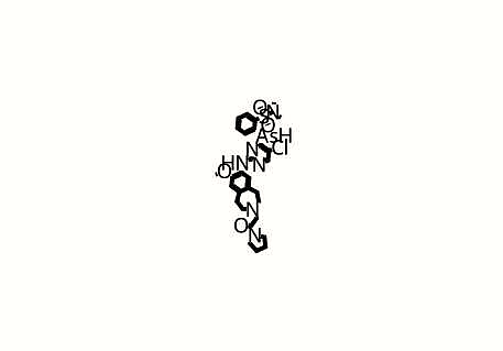 COc1cc2c(cc1Nc1ncc(Cl)c([AsH]c3ccccc3S(=O)(=O)N(C)C)n1)CCN(CC(=O)N1CCCC1)CC2